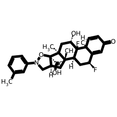 Cc1cccc(N2C[C@@H]3C[C@@]4(C)[C@@H]5C[C@H](F)C6=CC(=O)C=C[C@]6(C)[C@@]5(F)[C@@H](O)C[C@]4(C)[C@]3(C(=O)O)O2)c1